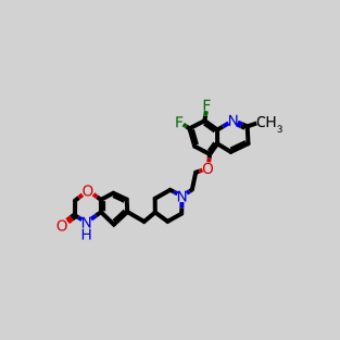 Cc1ccc2c(OCCN3CCC(Cc4ccc5c(c4)NC(=O)CO5)CC3)cc(F)c(F)c2n1